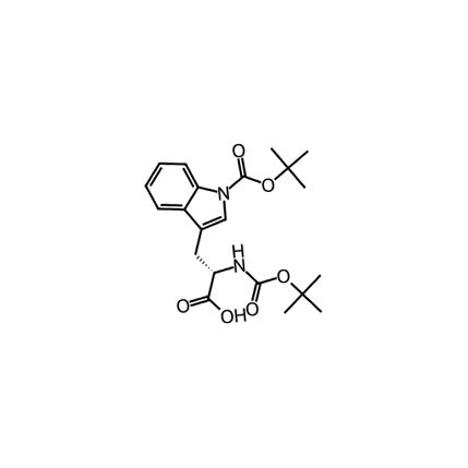 CC(C)(C)OC(=O)N[C@@H](Cc1cn(C(=O)OC(C)(C)C)c2ccccc12)C(=O)O